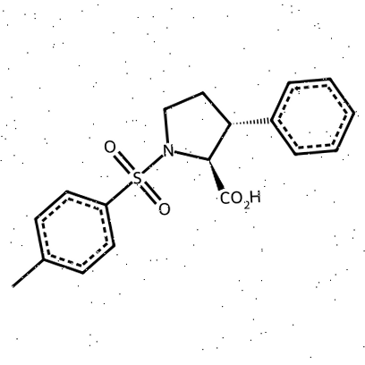 Cc1ccc(S(=O)(=O)N2CC[C@H](c3ccccc3)[C@H]2C(=O)O)cc1